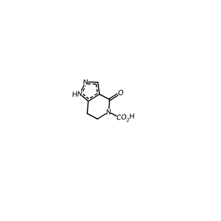 O=C(O)N1CCc2[nH]ncc2C1=O